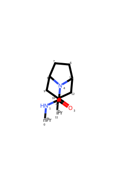 CCCNC(=O)N1C2CCC1CC(C(C)C)C2